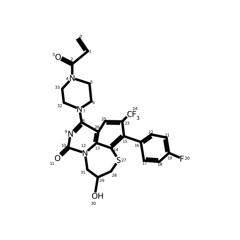 C=CC(=O)N1CCN(c2nc(=O)n3c4c(c(-c5ccc(F)cc5)c(C(F)(F)F)cc24)SCC(O)C3)CC1